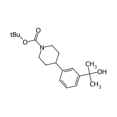 CC(C)(C)OC(=O)N1CCC(c2cccc(C(C)(C)O)c2)CC1